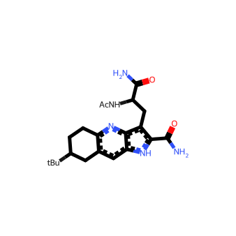 CC(=O)NC(Cc1c(C(N)=O)[nH]c2cc3c(nc12)CCC(C(C)(C)C)C3)C(N)=O